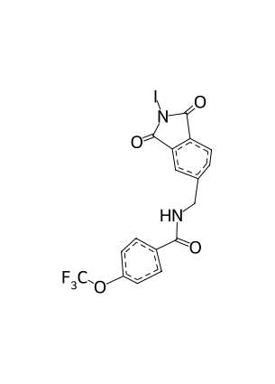 O=C(NCc1ccc2c(c1)C(=O)N(I)C2=O)c1ccc(OC(F)(F)F)cc1